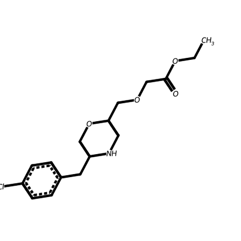 CCOC(=O)COCC1CNC(Cc2ccc(Cl)cc2)CO1